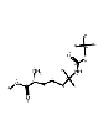 COC(=O)[C@@H](N)CCCC(C)(C)NC(=O)OC(C)(C)C